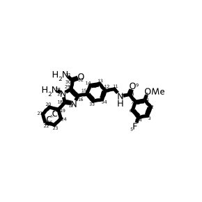 COc1ccc(F)cc1C(=O)NCc1ccc(-c2nc(C34CCC(CC3)CC4)n(N)c2C(N)=O)cc1